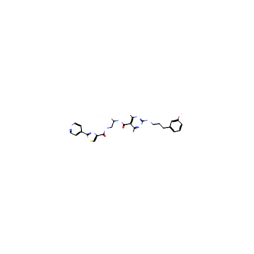 Cc1nc(NCCCc2cccc(O)c2)nc(C)c1C(=O)NC(CNC(=O)c1csc(-c2ccncc2)n1)C(=O)O